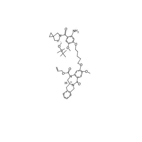 C=CCOC(=O)N1C[C@@H]2Cc3ccccc3CN2C(=O)c2cc(OC)c(OCCCCCOc3cc(N)c(C(=O)N4CC5(CC5)C[C@H]4CO[Si](C)(C)C(C)(C)C)cc3OC)cc21